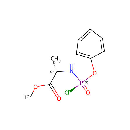 CC(C)OC(=O)[C@H](C)N[P@](=O)(Cl)Oc1ccccc1